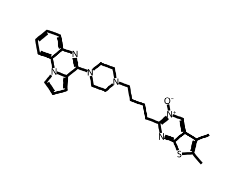 Cc1sc2nc(CCCCN3CCN(c4nc5ccccc5n5cccc45)CC3)[n+]([O-])cc2c1C